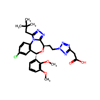 COc1cccc([C@H]2O[C@H](CCn3nnc(CC(=O)O)n3)c3nnc(CC(C)(C)C)n3-c3ccc(Cl)cc32)c1OC